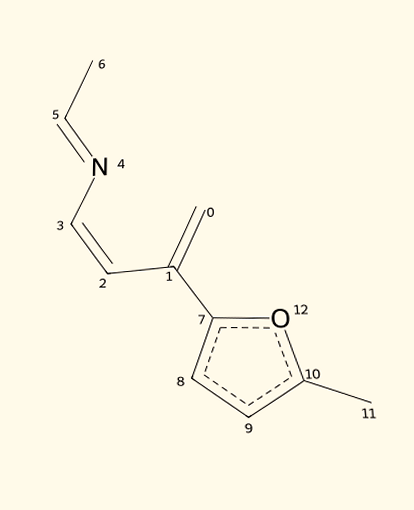 C=C(/C=C\N=C\C)c1ccc(C)o1